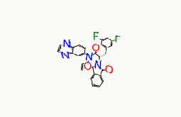 C=CCN(C(=O)[C@H](Cc1cc(F)cc(F)c1)N1C(=O)c2ccccc2C1=O)c1ccc2nccnc2c1